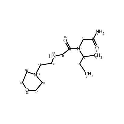 CCC(C)N(CC(N)=O)C(=O)CNCCN1CCOCC1